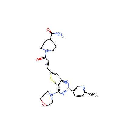 COc1ccc(-c2nc(N3CCOCC3)c3sc(/C=C/C(=O)N4CCC(C(N)=O)CC4)cc3n2)cn1